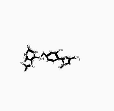 Cc1nc2c(NCc3ccc(-c4nc(C(F)(F)F)cn4C)c(F)c3)nc(Cl)nc2s1